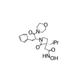 CC(C)C[C@@]1(CC(=O)NO)CCN([C@@H](Cc2ccccc2)C(=O)N2CCOCC2)C1=O